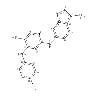 Cn1ncc2cc(Nc3ncc(F)c(Nc4ccc(Cl)cc4)n3)ccc21